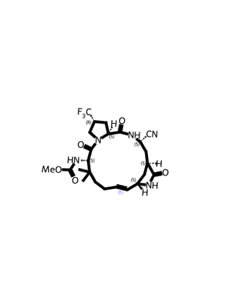 COC(=O)N[C@@H]1C(=O)N2C[C@H](C(F)(F)F)C[C@H]2C(=O)N[C@H](C#N)C[C@@H]2C[C@@H](/C=C/CCC1(C)C)NC2=O